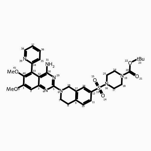 COc1cc2nc(N3CCc4ccc(S(=O)(=O)N5CCN(C(=O)OC(C)(C)C)CC5)cc4C3)nc(N)c2c(-c2ccccn2)c1OC